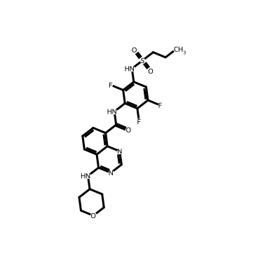 CCCS(=O)(=O)Nc1cc(F)c(F)c(NC(=O)c2cccc3c(NC4CCOCC4)ncnc23)c1F